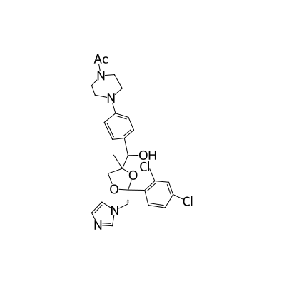 CC(=O)N1CCN(c2ccc(C(O)C3(C)CO[C@](Cn4ccnc4)(c4ccc(Cl)cc4Cl)O3)cc2)CC1